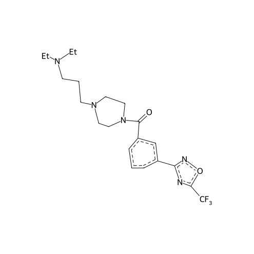 CCN(CC)CCCN1CCN(C(=O)c2cccc(-c3noc(C(F)(F)F)n3)c2)CC1